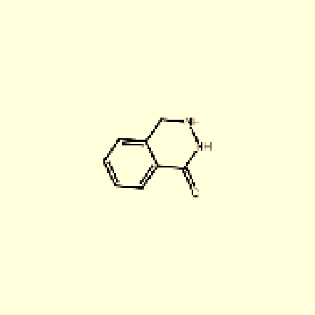 O=C1NN[CH]c2ccccc21